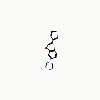 C[C@H]1CN(c2ccc3oc(-c4cncc(F)c4)cc(=O)c3c2)CCN1